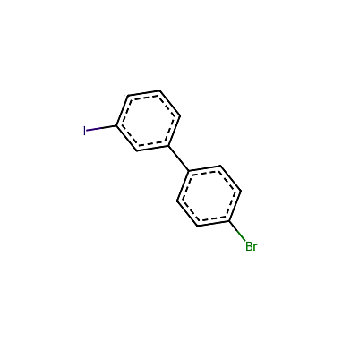 Brc1ccc(-c2cc[c]c(I)c2)cc1